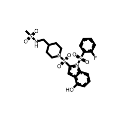 CS(=O)(=O)NCC1CCN(S(=O)(=O)c2cc3c(O)cccc3n2S(=O)(=O)c2ccccc2F)CC1